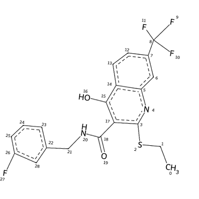 CCSc1nc2cc(C(F)(F)F)ccc2c(O)c1C(=O)NCc1cccc(F)c1